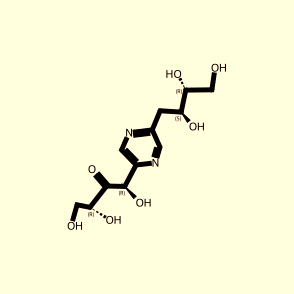 O=C([C@H](O)CO)[C@H](O)c1cnc(C[C@H](O)[C@H](O)CO)cn1